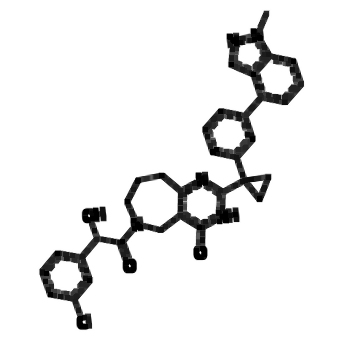 Cn1ncc2c(-c3cccc(C4(c5nc6c(c(=O)[nH]5)CN(C(=O)C(O)c5cccc(Cl)c5)CCC6)CC4)c3)cccc21